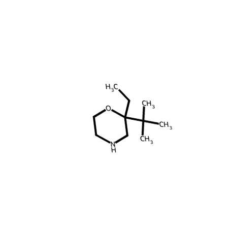 CCC1(C(C)(C)C)CNCCO1